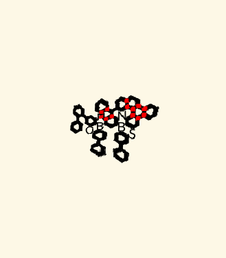 c1ccc(-c2ccc3c(c2)Oc2cc(-c4ccccc4-c4ccccc4)cc4c2B3c2cc3c(cc2N4c2ccccc2)N(c2c(-c4ccccc4)cccc2-c2ccccc2)c2cc(-c4ccccc4-c4ccccc4)cc4c2B3c2ccc(-c3ccccc3)cc2S4)cc1